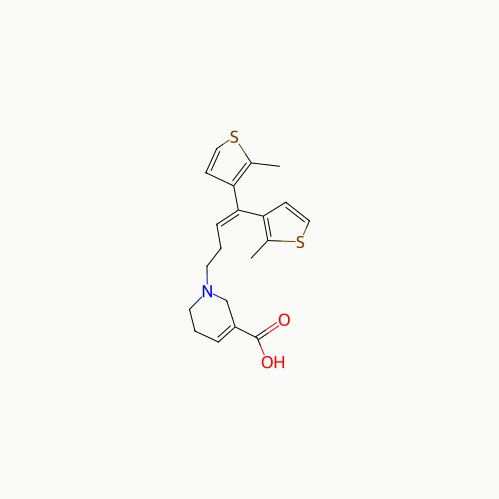 Cc1sccc1C(=CCCN1CCC=C(C(=O)O)C1)c1ccsc1C